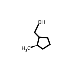 C[C@@H]1CCCC1CO